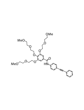 COCCOCCOc1cc(C(=O)Nc2ccc(C#Cc3ccccc3)cc2)cc(OCCOCCOC)c1OCCOCCOC